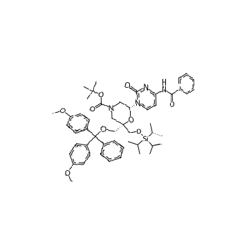 COc1ccc(C(OC[C@]2(CO[Si](C(C)C)(C(C)C)C(C)C)CN(C(=O)OC(C)(C)C)C[C@H](n3ccc(NC(=O)c4ccccc4)nc3=O)O2)(c2ccccc2)c2ccc(OC)cc2)cc1